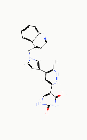 Cc1nnc(-c2c[nH]c(=O)[nH]c2=O)cc1-c1ccn(Cc2ccnc3ccccc23)c1